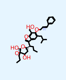 CCCC(c1coc2c(CO)c(OC/C=C/c3ccccc3)c(CC(C)C)cc12)[C@H]1CC(O)C2(OC2CC)[C@H](O)O1